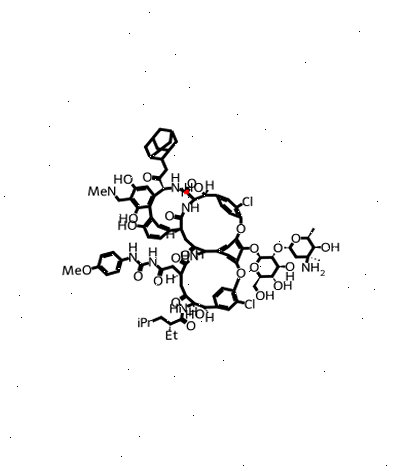 CC[C@H](CC(C)C)C(=O)N[C@H]1C(=O)C[C@@H](CC(=O)NC(=O)Nc2ccc(OC)cc2)C(=O)N[C@H]2C(=O)C[C@H]3C(=O)N[C@H](C(=O)N[C@H](C(=O)CC4C5CC6CC(C5)CC4C6)c4cc(O)c(CNC)c(O)c4-c4cc3ccc4O)[C@H](O)c3ccc(c(Cl)c3)Oc3cc2cc(c3O[C@@H]2O[C@H](CO)[C@@H](O)[C@H](O)[C@H]2O[C@H]2C[C@](C)(N)[C@H](O)[C@H](C)O2)Oc2ccc(cc2Cl)[C@H]1O